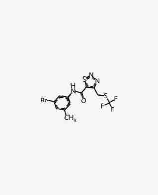 Cc1cc(Br)cc(NC(=O)c2snnc2CSC(F)(F)F)c1